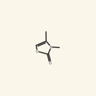 Cc1coc(=O)n1C